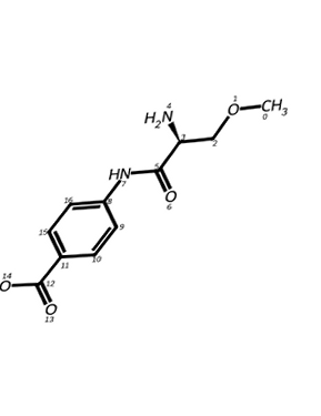 COC[C@H](N)C(=O)Nc1ccc(C(=O)O)cc1